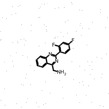 NCc1nc(-c2ccc(F)cc2F)nc2ccccc12